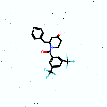 O=C1CCN(C(=O)c2cc(C(F)(F)F)cc(C(F)(F)F)c2)C(Cc2ccccc2)C1